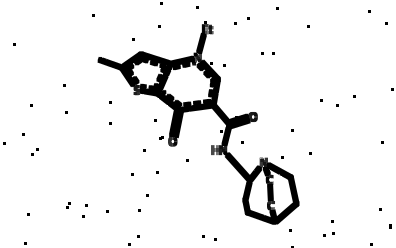 CCn1cc(C(=O)NC2CCC3CCN2CC3)c(=O)c2sc(C)cc21